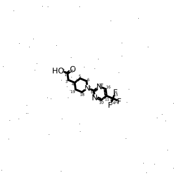 O=C(O)CC1CCN(c2ncc(C(F)(F)F)cn2)CC1